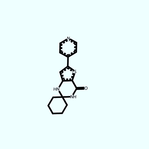 O=C1NC2(CCCCC2)Nc2cc(-c3ccncc3)sc21